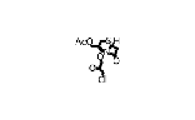 CC(=O)OCC1=C(OCC(=O)CCl)N2C(=O)C[C@H]2SC1